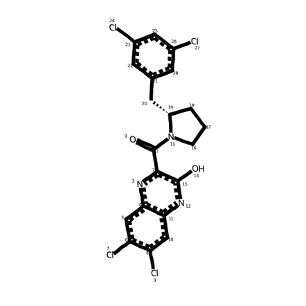 O=C(c1nc2cc(Cl)c(Cl)cc2nc1O)N1CCC[C@H]1Cc1cc(Cl)cc(Cl)c1